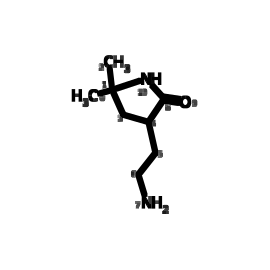 CC1(C)CC(CCN)C(=O)N1